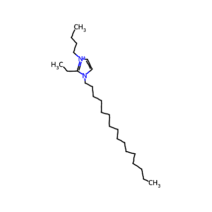 CCCCCCCCCCCCCCCCn1cc[n+](CCCC)c1CC